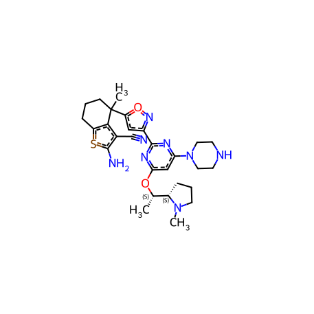 C[C@H](Oc1cc(N2CCNCC2)nc(-c2cc(C3(C)CCCc4sc(N)c(C#N)c43)on2)n1)[C@@H]1CCCN1C